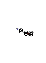 C/C=C/[C@H]1CO[C@H](CC[C@H]2CO[C@H](c3cc(F)c(OC(F)F)c(F)c3)OC2)OC1